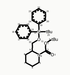 CC(C)(C)OC(=O)N1CCCCC1CO[Si](c1ccccc1)(c1ccccc1)C(C)(C)C